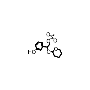 CS(=O)(=O)OCC(OC1CCCCO1)c1cccc(O)c1